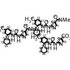 CNC(=O)c1cnc(NC(=O)Nc2ccc(C)cc2N2CCCCC2)s1.Cc1ccc(NC(=O)Nc2ncc(C(=O)O)s2)c(N2CCCCC2)c1.Cc1ccc(NC(=O)Nc2ncc(C(N)=O)s2)c(N2CCCCC2)c1